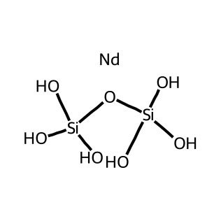 O[Si](O)(O)O[Si](O)(O)O.[Nd]